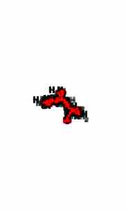 CO[C@@H]1[C@H](OP(=O)([O-])OC[C@H]2O[C@@H](n3cnc4c(=O)[nH]c(N)nc43)[C@H](O)[C@@H]2O)[C@@H](COP(=O)(O)OP(=O)(O)OP(=O)(O)OC[C@H]2O[C@@H](n3c[n+](C)c4c(=O)[nH]c(N)nc43)[C@H](O)[C@@H]2COC(=O)NCc2ccccc2)O[C@H]1n1cnc2c(N)ncnc21